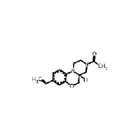 C=Cc1ccc2c(c1)OC[C@H]1CN(C(C)=O)CCN21